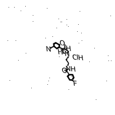 Cl.N#Cc1ccc2c(c1)[C@@H]1CN(CCCCNC(=O)c3ccc(F)cc3)C[C@H]1CO2